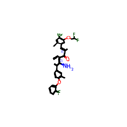 C=C/C(C(=O)/C(C)=C/c1cc(OCC(F)F)c(Br)cc1C)=C(/N)C(C)c1ccc(Oc2ccccc2F)c(C)c1